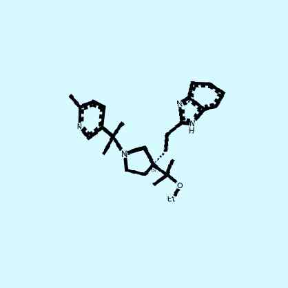 CCOC(C)(C)[C@@]1(CCc2nc3ccccc3[nH]2)CCN(C(C)(C)c2ccc(C)nc2)C1